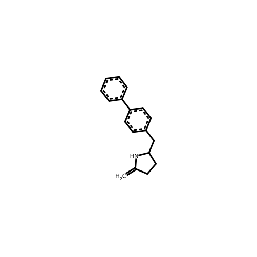 C=C1CCC(Cc2ccc(-c3ccccc3)cc2)N1